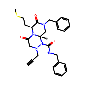 C#CCN1CC(=O)N2[C@@H](CCSC)C(=O)N(Cc3ccccc3)C[C@@H]2N1C(=O)NCc1ccccc1